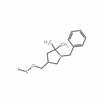 CC1(C)CC(COSI)CN1Cc1ccccc1